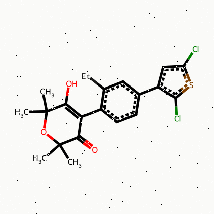 CCc1cc(-c2cc(Cl)sc2Cl)ccc1C1=C(O)C(C)(C)OC(C)(C)C1=O